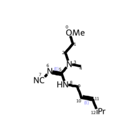 COCCN(C)/C(=N/C#N)NC/C=C/C(C)C